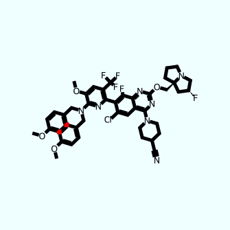 COc1ccc(CN(Cc2ccc(OC)cc2)c2nc(-c3c(Cl)cc4c(N5CCC(C#N)CC5)nc(OC[C@@]56CCCN5C[C@H](F)C6)nc4c3F)c(C(F)(F)F)cc2OC)cc1